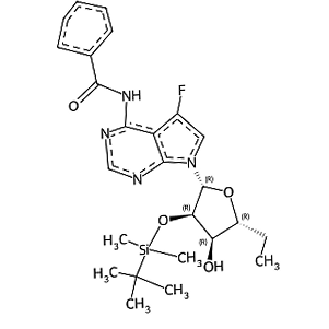 CC[C@H]1O[C@@H](n2cc(F)c3c(NC(=O)c4ccccc4)ncnc32)[C@H](O[Si](C)(C)C(C)(C)C)[C@@H]1O